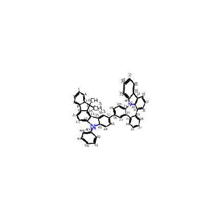 CC1(C)c2ccccc2-c2ccc3c(c21)c1cc(-c2ccc4c(c2)-c2ccccc2-c2cccc5c6ccccc6n-4c25)ccc1n3-c1ccccc1